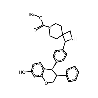 CC(C)(C)OC(=O)N1CCC2(CC1)CNC2c1ccc([C@@H]2c3ccc(O)cc3OC[C@@H]2c2ccccc2)cc1